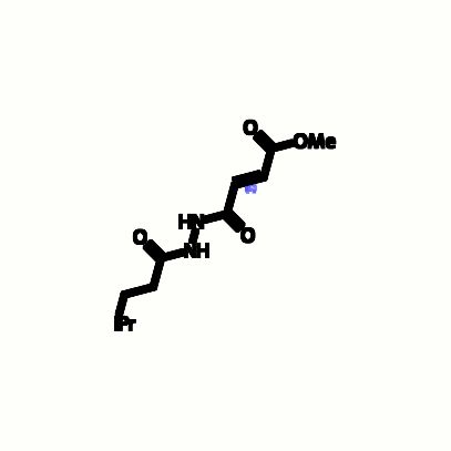 COC(=O)/C=C/C(=O)NNC(=O)CCC(C)C